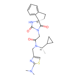 C[C@@H](C1CC1)N(Cc1csc(N(C)C)n1)C(=O)CN1C(=O)N[C@]2(CCc3ccccc32)C1=O